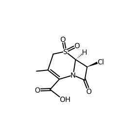 CC1=C(C(=O)O)N2C(=O)[C@H](Cl)[C@@H]2S(=O)(=O)C1